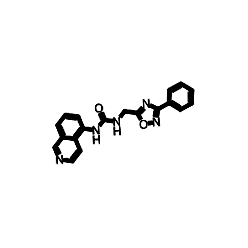 O=C(NCc1nc(-c2ccccc2)no1)Nc1cccc2cnccc12